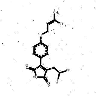 CC(C)=CCOc1ccc(C2=C(CC(F)F)C(=O)OC2=O)cc1